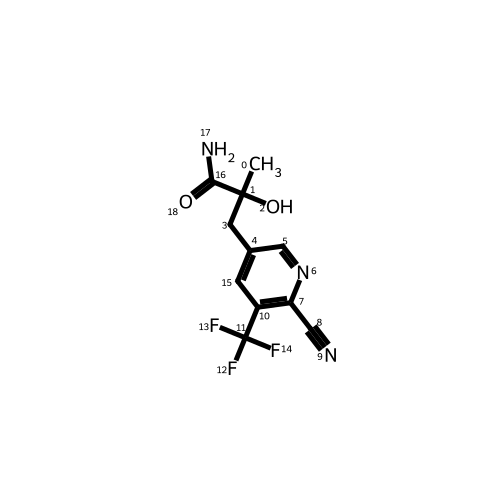 CC(O)(Cc1cnc(C#N)c(C(F)(F)F)c1)C(N)=O